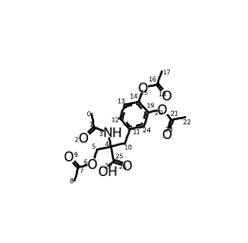 CC(=O)NC(COC(C)=O)(Cc1ccc(OC(C)=O)c(OC(C)=O)c1)C(=O)O